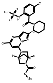 CC(C)(C)OC(=O)N1C[C@H]2C[C@@H]1CN2c1cc(Cl)nc2cc([C@@H]3CCCCN3C(=O)c3cc(Cl)ccc3NS(C)(=O)=O)nn12